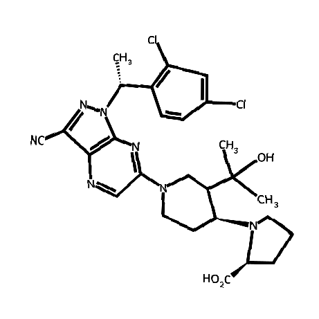 C[C@H](c1ccc(Cl)cc1Cl)n1nc(C#N)c2ncc(N3CC[C@H](N4CCC[C@H]4C(=O)O)C(C(C)(C)O)C3)nc21